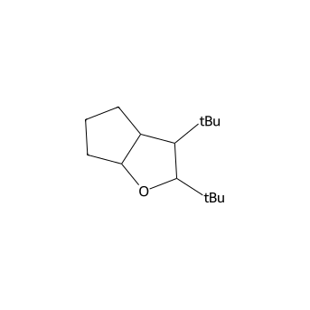 CC(C)(C)C1OC2CCCC2C1C(C)(C)C